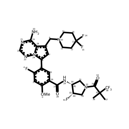 COc1cc(F)c(-c2cc(CN3CCC(F)(F)CC3)c3c(N)ncnn23)cc1C(=O)N[C@@H]1CN(C(=O)C(C)(C)C(F)(F)F)C[C@@H]1F